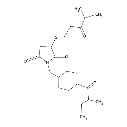 CCC(C)C(=O)C1CCC(CN2C(=O)CC(SCCC(=O)C(C)C)C2=O)CC1